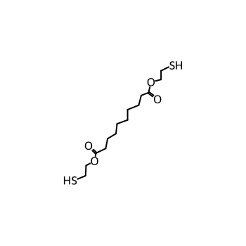 O=C(CCCCCCCCC(=O)OCCS)OCCS